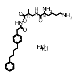 C[C@@H](CNC(=O)[C@@H](N)CCCCN)C(=O)ONC(=O)Cc1ccc(CCCCc2ccccc2)cc1.Cl.Cl